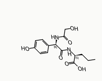 CCC[C@H](NC(=O)[C@H](NC(=O)CO)c1ccc(O)cc1)C(=O)O